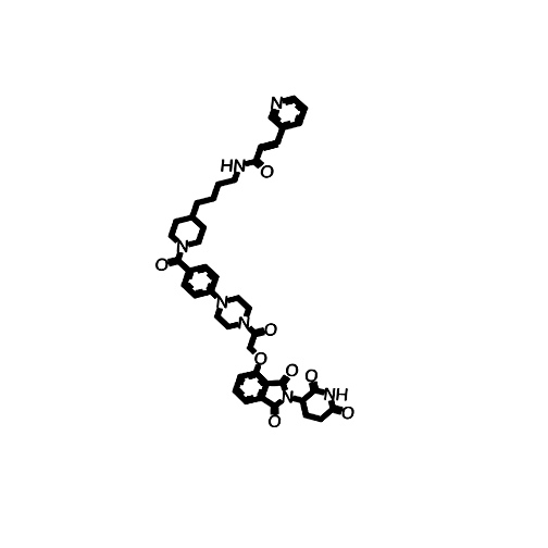 O=C(/C=C/c1cccnc1)NCCCCC1CCN(C(=O)c2ccc(N3CCN(C(=O)COc4cccc5c4C(=O)N(C4CCC(=O)NC4=O)C5=O)CC3)cc2)CC1